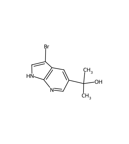 CC(C)(O)c1cnc2[nH]cc(Br)c2c1